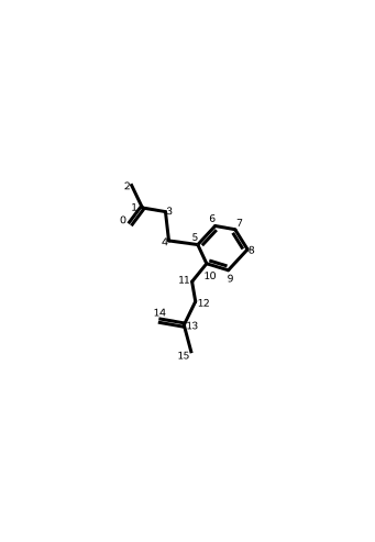 C=C(C)CCc1ccccc1CCC(=C)C